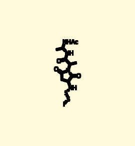 CC(=O)NC(C)NC(=O)C(C)N1C(=O)CC(NSSI)C1=O